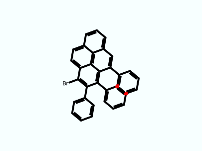 Brc1c(-c2ccccc2)c(-c2ccccc2)c2c(-c3ccccc3)cc3cccc4ccc1c2c43